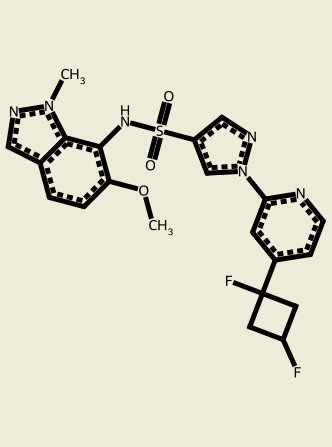 COc1ccc2cnn(C)c2c1NS(=O)(=O)c1cnn(-c2cc(C3(F)CC(F)C3)ccn2)c1